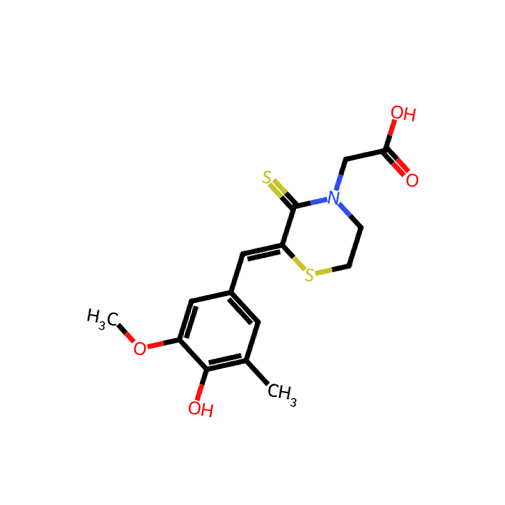 COc1cc(C=C2SCCN(CC(=O)O)C2=S)cc(C)c1O